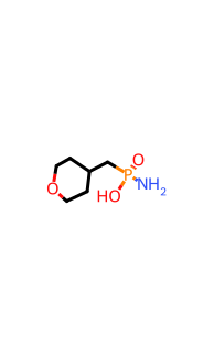 NP(=O)(O)CC1CCOCC1